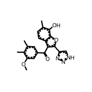 COc1cc(C(=O)c2c(-c3c[nH]nn3)oc3c(O)c(C)ccc23)cc(C)c1C